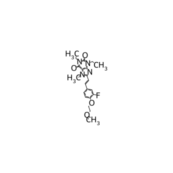 CCn1c(=O)c2c(nc(C=Cc3ccc(OCCOC)c(F)c3)n2C)n(CC)c1=O